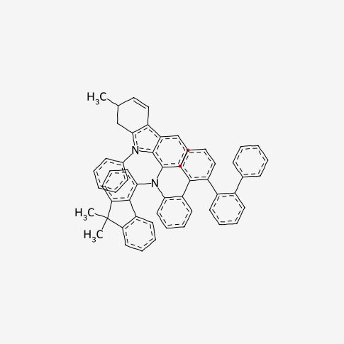 CC1C=Cc2c(n(-c3ccccc3)c3c(N(c4ccccc4-c4ccccc4-c4ccccc4-c4ccccc4)c4cccc5c4-c4ccccc4C5(C)C)cccc23)C1